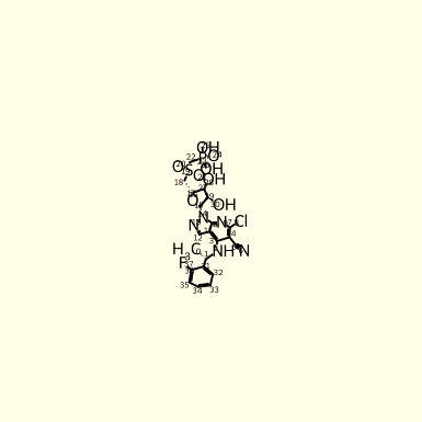 C[C@H](Nc1c(C#N)c(Cl)nc2c1cnn2[C@@H]1O[C@H](CS(=O)(=O)CP(=O)(O)O)[C@@H](O)[C@H]1O)c1ccccc1F